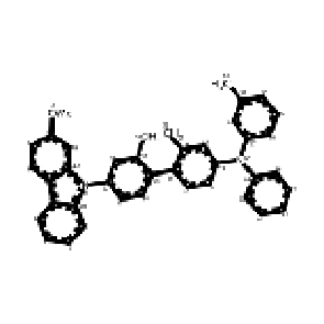 COc1ccc2c3ccccc3n(-c3ccc(-c4ccc(N(c5ccccc5)c5cccc(C)c5)cc4C)c(C)c3)c2c1